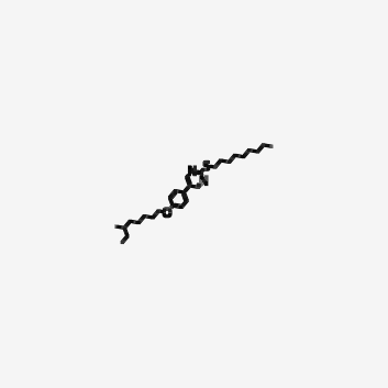 CCCCCCCCCSc1ncc(-c2ccc(OCCCCCC(C)CC)cc2)cn1